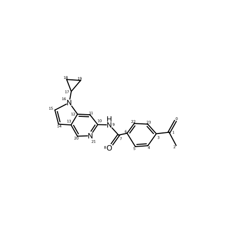 C=C(C)c1ccc(C(=O)Nc2cc3c(ccn3C3CC3)cn2)cc1